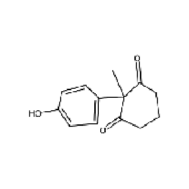 CC1(c2ccc(O)cc2)C(=O)CCCC1=O